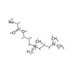 CN(C)CCC[N+](C)(C)CCCOC(=O)[CH2][Na]